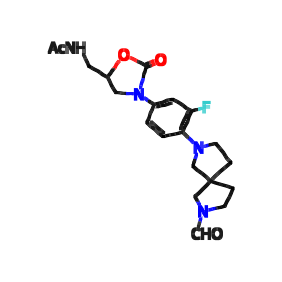 CC(=O)NCC1CN(c2ccc(N3CCC4(CCN(C=O)C4)C3)c(F)c2)C(=O)O1